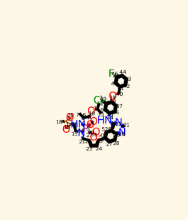 COCP(=O)(NC(C)C(=O)OC(C)C)N(CCS(C)(=O)=O)Cc1ccc(-c2ccc3ncnc(Nc4ccc(OCc5cccc(F)c5)c(Cl)c4)c3c2)o1